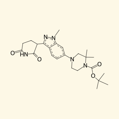 Cn1nc(C2CCC(=O)NC2=O)c2ccc(N3CCN(C(=O)OC(C)(C)C)C(C)(C)C3)cc21